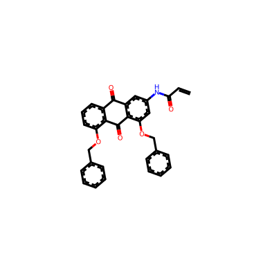 C=CC(=O)Nc1cc(OCc2ccccc2)c2c(c1)C(=O)c1cccc(OCc3ccccc3)c1C2=O